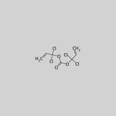 C=CC(Cl)(Cl)OC(=O)OC(Cl)(Cl)C=C